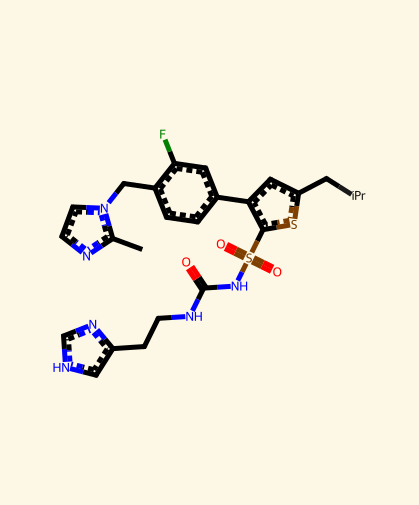 Cc1nccn1Cc1ccc(-c2cc(CC(C)C)sc2S(=O)(=O)NC(=O)NCCc2c[nH]cn2)cc1F